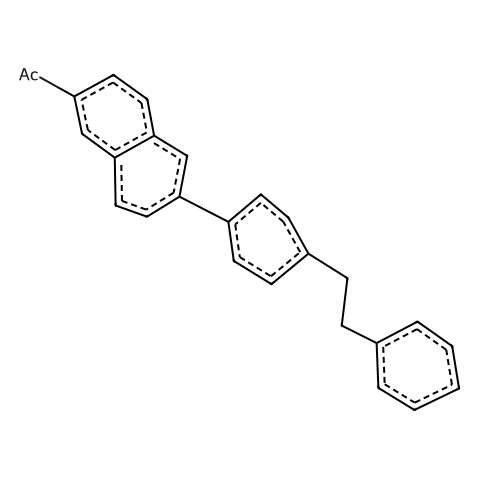 CC(=O)c1ccc2cc(-c3ccc(CCc4ccccc4)cc3)ccc2c1